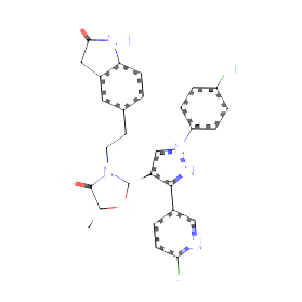 C[C@@H]1O[C@H](c2cn(-c3ccc(Br)cc3)nc2-c2ccc(F)nc2)N(CCc2ccc3c(c2)CC(=O)N3)C1=O